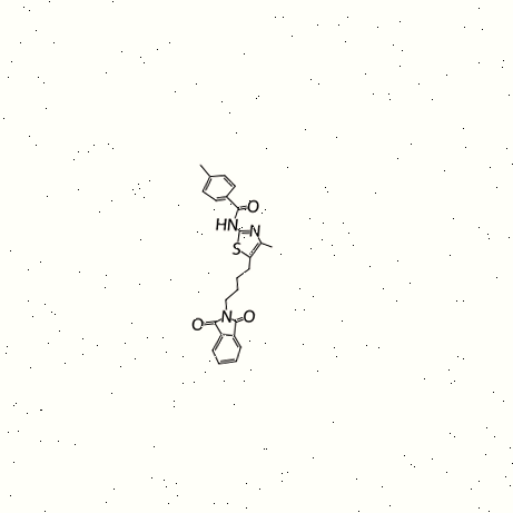 Cc1ccc(C(=O)Nc2nc(C)c(CCCCN3C(=O)c4ccccc4C3=O)s2)cc1